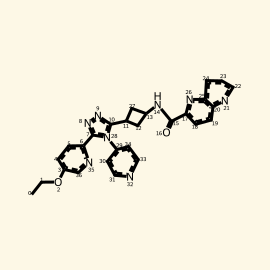 CCOc1ccc(-c2nnc(C3CC(NC(=O)c4ccc5ncccc5n4)C3)n2-c2ccncc2)nc1